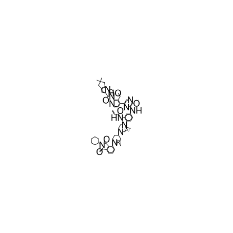 C=CC(=O)Nc1cc(Nc2nc(-c3ccnc(N4CCn5c(cc6c5CC(C)(C)C6)C4=O)c3CO)cnc2OC)ccc1N1CCN(C2CCN(c3cccc4c3C(=O)N(C3CCCCC3)C4=O)[C@H](C)C2)C[C@@H]1C